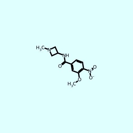 COc1cc(C(=O)NC2CN(C)C2)ccc1[N+](=O)[O-]